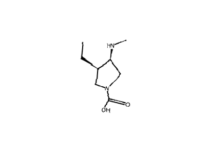 CC[C@@H]1CN(C(=O)O)C[C@@H]1NC